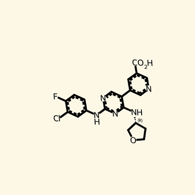 O=C(O)c1cncc(-c2cnc(Nc3ccc(F)c(Cl)c3)nc2N[C@@H]2CCOC2)c1